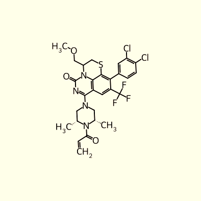 C=CC(=O)N1[C@H](C)CN(c2nc(=O)n3c4c(c(-c5ccc(Cl)c(Cl)c5)c(C(F)(F)F)cc24)SCC3COC)C[C@@H]1C